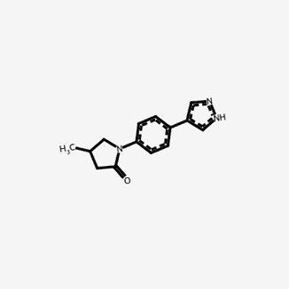 CC1CC(=O)N(c2ccc(-c3cn[nH]c3)cc2)C1